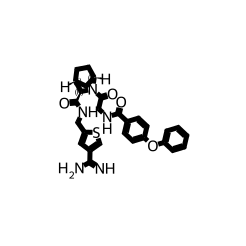 N=C(N)c1csc(CNC(=O)[C@H]2[C@H]3CC[C@H](C3)N2C(=O)CNC(=O)c2ccc(Oc3ccccc3)cc2)c1